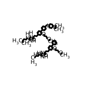 CCCCNC(=N)NC(=O)CCc1ccc(-c2ccccc2)c(OCCCOC)c1.COCCCOc1cc(CCC(=O)NC(=N)NCCC(C)C)ccc1-c1ccc(CN2CCC(N(C)C)CC2)cc1